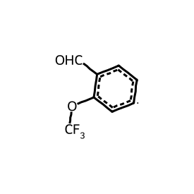 O=Cc1cc[c]cc1OC(F)(F)F